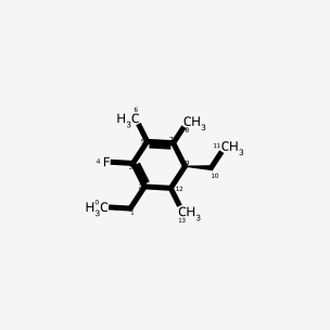 CCC1=C(F)C(C)=C(C)[C@@H](CC)C1C